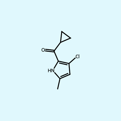 Cc1cc(Cl)c(C(=O)C2CC2)[nH]1